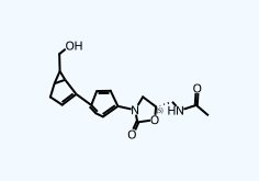 CC(=O)NC[C@H]1CN(c2ccc(C3=CCC4C(CO)C34)cc2)C(=O)O1